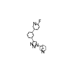 Fc1ccc(-c2cccc(-c3cn(C4CN5CCC4CC5)nn3)c2)cn1